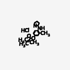 Cc1cc(OC(=O)C(C)(C)C)ccc1NC1=NCCC1.Cl